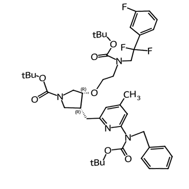 Cc1cc(C[C@@H]2CN(C(=O)OC(C)(C)C)C[C@@H]2OCCN(CC(F)(F)c2cccc(F)c2)C(=O)OC(C)(C)C)nc(N(Cc2ccccc2)C(=O)OC(C)(C)C)c1